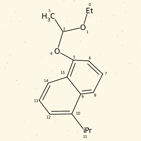 CCOC(C)Oc1cccc2c(C(C)C)cccc12